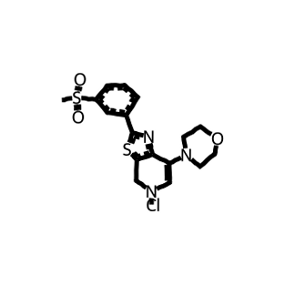 CS(=O)(=O)c1cccc(-c2nc3c(s2)CN(Cl)C=C3N2CCOCC2)c1